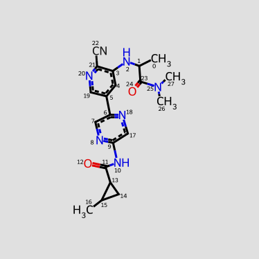 CC(Nc1cc(-c2cnc(NC(=O)C3CC3C)cn2)cnc1C#N)C(=O)N(C)C